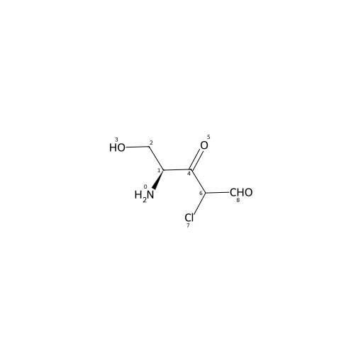 N[C@@H](CO)C(=O)C(Cl)C=O